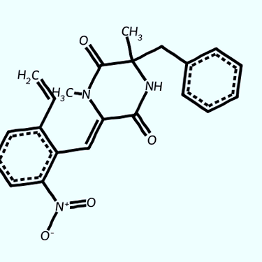 C=Cc1cccc([N+](=O)[O-])c1C=C1C(=O)NC(C)(Cc2ccccc2)C(=O)N1C